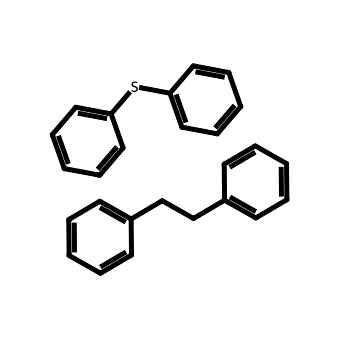 c1ccc(CCc2ccccc2)cc1.c1ccc(Sc2ccccc2)cc1